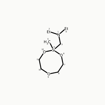 CCN(CC)C[Si]1(C)OCCOCCO1